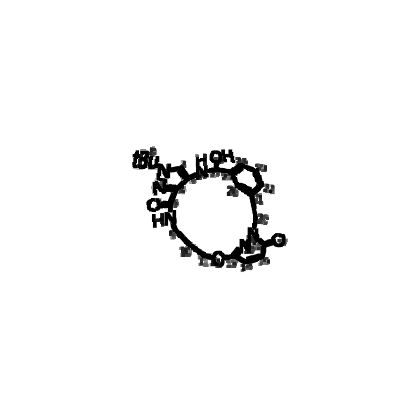 CC(C)(C)n1cc2c(n1)C(=O)NCCCOc1ccc(=O)n(n1)Cc1cccc(c1)C(O)N2